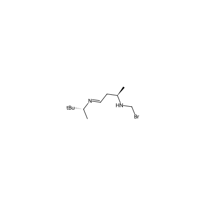 C[C@H](C/C=N/[C@H](C)C(C)(C)C)NCBr